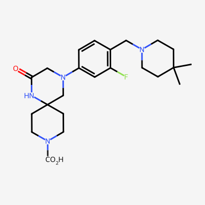 CC1(C)CCN(Cc2ccc(N3CC(=O)NC4(CCN(C(=O)O)CC4)C3)cc2F)CC1